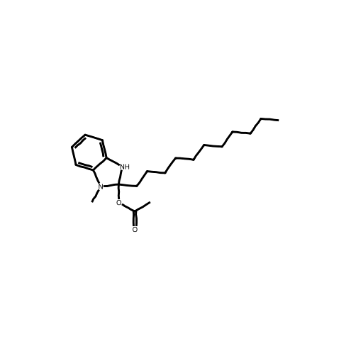 CCCCCCCCCCCC1(OC(C)=O)Nc2ccccc2N1C